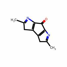 CC1=NC2=C(C1)C1=C(N=C(C)C1)C2=O